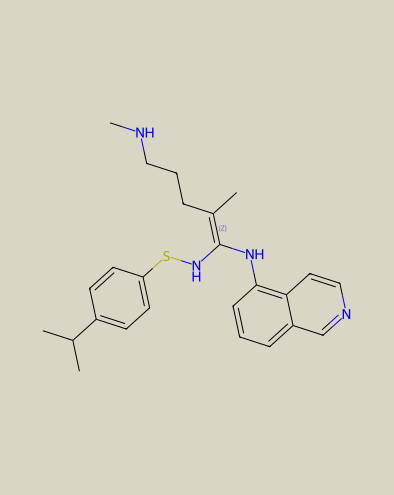 CNCCC/C(C)=C(\NSc1ccc(C(C)C)cc1)Nc1cccc2cnccc12